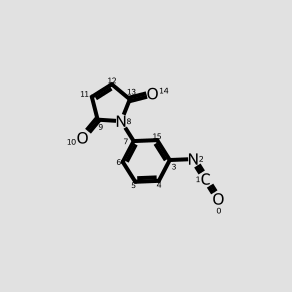 O=C=Nc1cccc(N2C(=O)C=CC2=O)c1